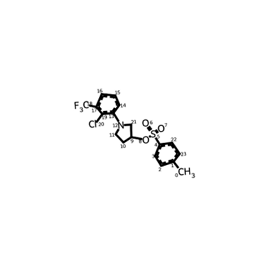 Cc1ccc(S(=O)(=O)OC2CCN(c3cccc(C(F)(F)F)c3Cl)C2)cc1